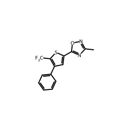 Cc1noc(-c2cc(-c3ccccc3)c(C(F)(F)F)s2)n1